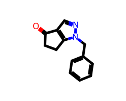 O=C1CCc2c1cnn2Cc1ccccc1